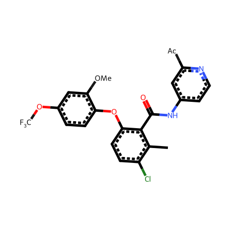 COc1cc(OC(F)(F)F)ccc1Oc1ccc(Cl)c(C)c1C(=O)Nc1ccnc(C(C)=O)c1